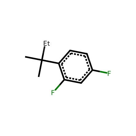 CCC(C)(C)c1ccc(F)cc1F